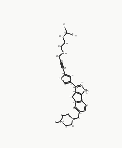 CN1CCN(Cc2ccc3c(c2)Cc2c(-c4csc(C#CCOCCOC(F)F)c4)n[nH]c2-3)CC1